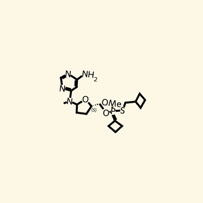 COP(OC[C@@H]1CCC(N(C)c2cc(N)ncn2)O1)(SCC1CCC1)=C1CCC1